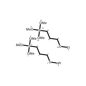 CCCOCCC[Si](OC)(OC)OC.CCOCCC[Si](OC)(OC)OC